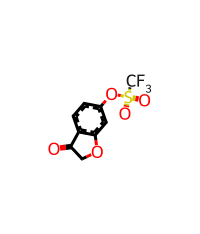 O=C1COc2cc(OS(=O)(=O)C(F)(F)F)ccc21